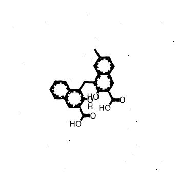 Cc1ccc2cc(C(=O)O)c(O)c(Cc3c(O)c(C(=O)O)cc4ccccc34)c2c1